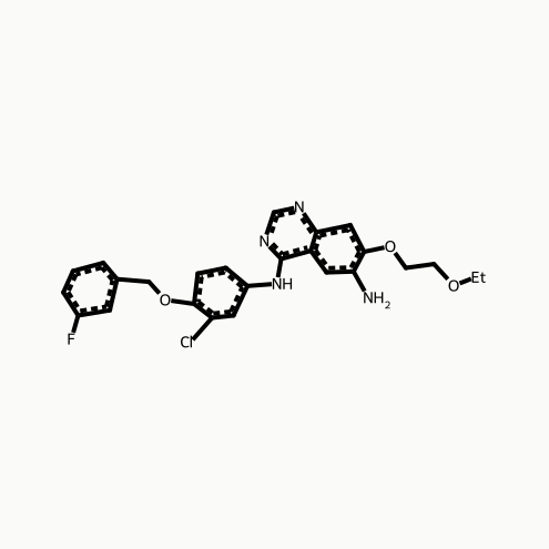 CCOCCOc1cc2ncnc(Nc3ccc(OCc4cccc(F)c4)c(Cl)c3)c2cc1N